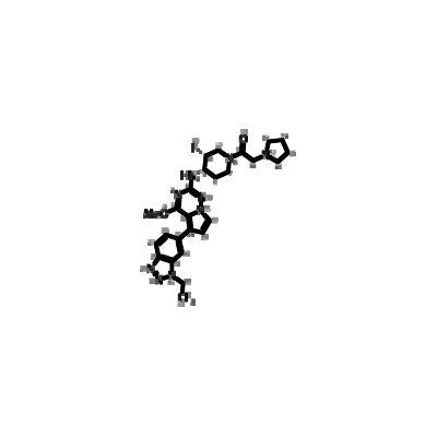 COc1nc(N[C@H]2CCN(C(=O)CN3CCCC3)C[C@H]2F)nn2ccc(-c3ccc4nnn(CC(F)(F)F)c4c3)c12